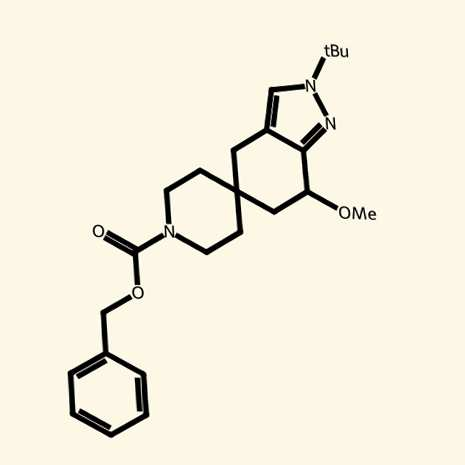 COC1CC2(CCN(C(=O)OCc3ccccc3)CC2)Cc2cn(C(C)(C)C)nc21